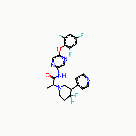 CC(C(=O)Nc1cnc(Oc2c(F)cc(F)cc2F)cn1)N1CCC(F)(F)C(c2ccncc2)C1